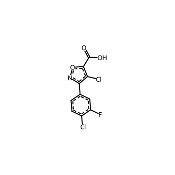 O=C(O)c1onc(-c2ccc(Cl)c(F)c2)c1Cl